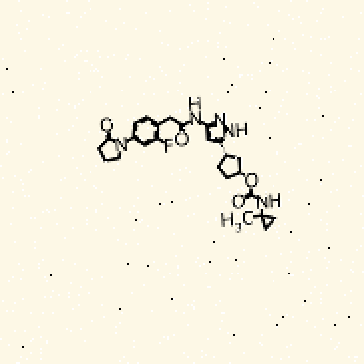 CC1(NC(=O)O[C@H]2CC[C@H](c3cc(NC(=O)Cc4ccc(N5CCCC5=O)cc4F)n[nH]3)C2)CC1